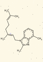 CC(C)=CCC/C(C)=C/Cn1c(C)nc2c(C)cccc21